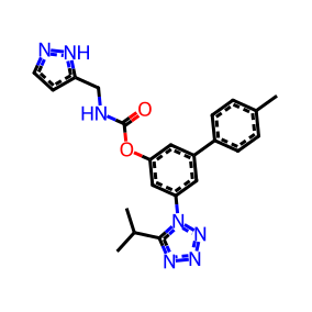 Cc1ccc(-c2cc(OC(=O)NCc3ccn[nH]3)cc(-n3nnnc3C(C)C)c2)cc1